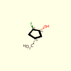 O=C(O)[C@H]1C[C@@H](O)[C@H](F)C1